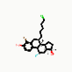 C[C@]12C[C@H](F)C3c4ccc(O)c(Br)c4CC(CCCCCCl)[C@H]3C1CC[C@@]2(C)O